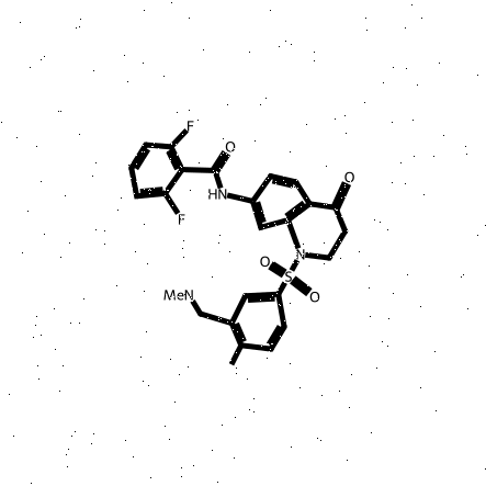 CNCc1cc(S(=O)(=O)N2CCC(=O)c3ccc(NC(=O)c4c(F)cccc4F)cc32)ccc1C